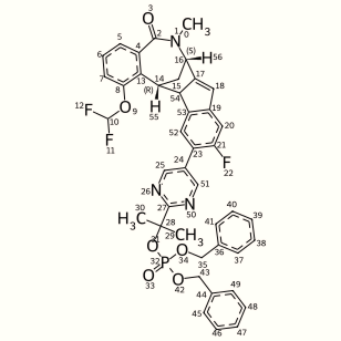 CN1C(=O)c2cccc(OC(F)F)c2[C@@H]2C[C@H]1C1=Cc3cc(F)c(-c4cnc(C(C)(C)OP(=O)(OCc5ccccc5)OCc5ccccc5)nc4)cc3C12